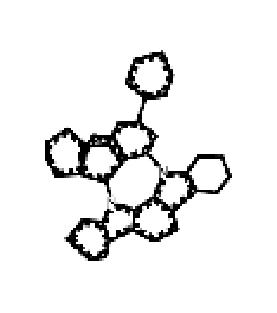 c1ccc(-c2cc(-c3ccccc3)cc(-n3c4c(c5ccc6c7ccccc7n(-c7ccccc7)c6c53)CCCC4)c2)cc1